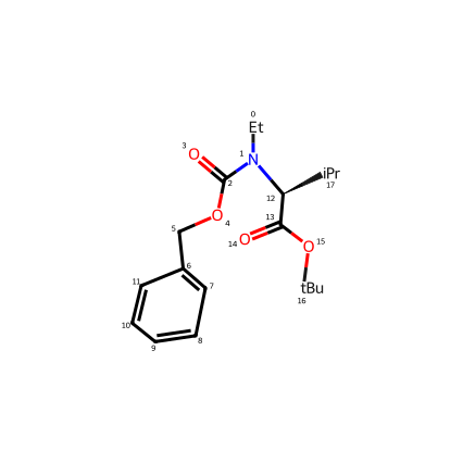 CCN(C(=O)OCc1ccccc1)[C@H](C(=O)OC(C)(C)C)C(C)C